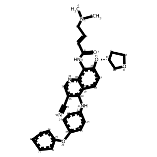 CN(C)C/C=C/C(=O)Nc1c(O[C@@H]2CCOC2)ccc2c(Nc3ccc(Oc4ccccc4)cc3)c(C#N)cnc12